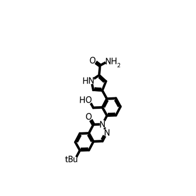 CC(C)(C)c1ccc2c(=O)n(-c3cccc(-c4c[nH]c(C(N)=O)c4)c3CO)ncc2c1